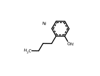 CCCCc1ccccc1O.[Ni]